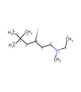 CCN(C)CCC(I)CC(C)(C)C